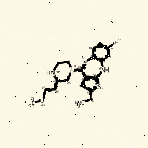 CCc1cc2c(s1)Nc1cc(F)ccc1N=C2N1CCNC(CCOC)C1